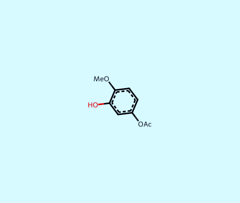 COc1ccc(OC(C)=O)cc1O